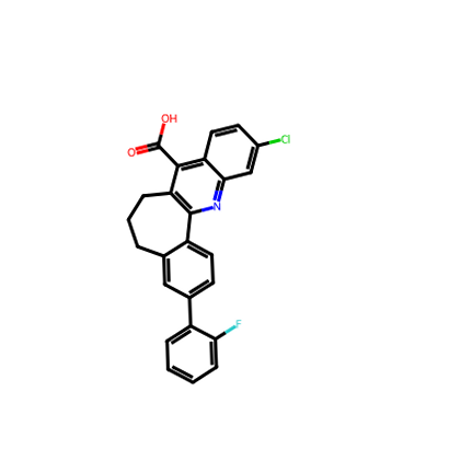 O=C(O)c1c2c(nc3cc(Cl)ccc13)-c1ccc(-c3ccccc3F)cc1CCC2